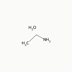 O.[CH2]CN